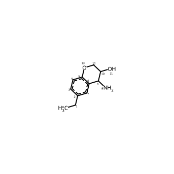 CCc1ccc2c(c1)C(N)C(O)CO2